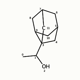 CC(O)C12CC3CC(CC1C3)C2